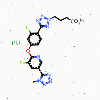 Cl.Cn1nnnc1-c1cnc(Oc2ccc(-c3nnn(CCCC(=O)O)n3)c(F)c2)c(F)c1